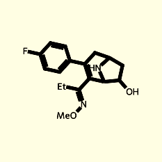 CCC(=NOC)C1=C(c2ccc(F)cc2)CC2CC(O)C1N2